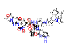 CC(C)c1ccccc1[C@@H]1CCCN1C1CC2(C1)CN(c1ccc(C(=O)NS(=O)(=O)c3cc4c(c([N+](=O)[O-])c3)N[C@@H](CN3CCOCC3)CO4)c(N3c4cc5cc[nH]c5nc4O[C@H]4COC[C@@H]43)c1)C2